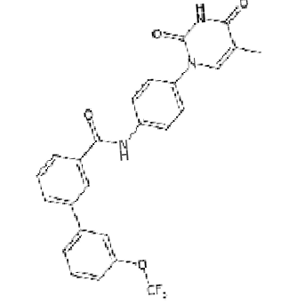 Cc1cn(-c2ccc(NC(=O)c3cccc(-c4cccc(OC(F)(F)F)c4)c3)cc2)c(=O)[nH]c1=O